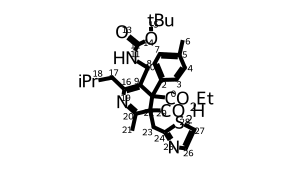 CCOC(=O)C1(c2ccc(C)cc2)C(CNC(=O)OC(C)(C)C)=C(CC(C)C)N=C(C)C1(Cc1nccs1)C(=O)O